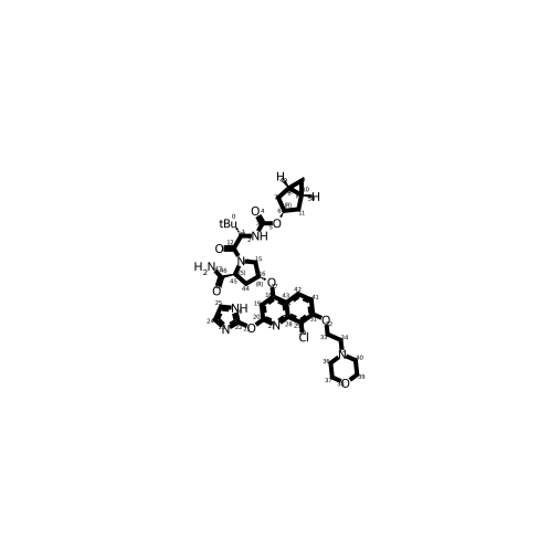 CC(C)(C)[C@H](NC(=O)O[C@@H]1C[C@@H]2C[C@@H]2C1)C(=O)N1C[C@H](Oc2cc(Oc3ncc[nH]3)nc3c(Cl)c(OCCN4CCOCC4)ccc23)C[C@H]1C(N)=O